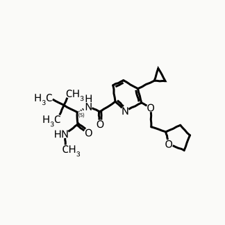 CNC(=O)[C@@H](NC(=O)c1ccc(C2CC2)c(OCC2CCCO2)n1)C(C)(C)C